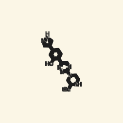 CC(C)(C)C1CN(c2ncc(-c3ccc(-c4cn[nH]c4)cc3O)nn2)CCN1